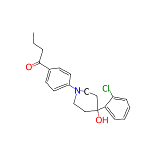 CCCC(=O)c1ccc(N2CCC(O)(c3ccccc3Cl)CC2)cc1